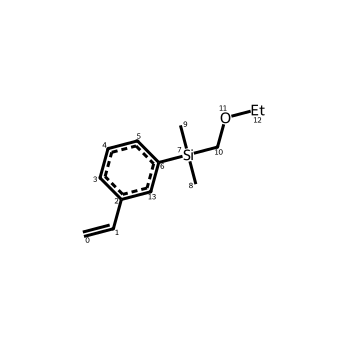 C=Cc1cccc([Si](C)(C)COCC)c1